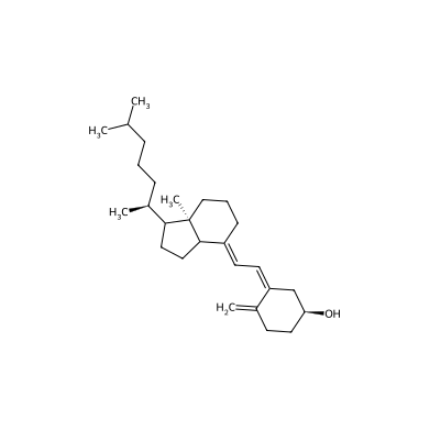 C=C1CC[C@H](O)C/C1=C/C=C1\CCC[C@@]2(C)C1CCC2[C@@H](C)CCCC(C)C